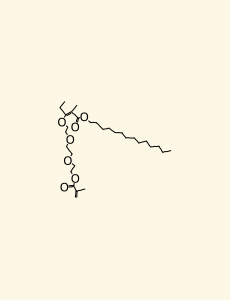 C=C(C)C(=O)OCCOCCOCCOC(CC)=C(C)C(=O)OCCCCCCCCCCCCCC